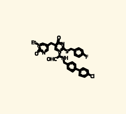 CCn1cc(Cc2cn(C(C=O)NCc3ccc(-c4ccc(Cl)cc4)cc3)c(SCc3ccc(F)cc3)nc2=O)cnc1=O